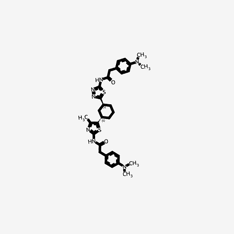 Cc1nc(NC(=O)Cc2ccc(N(C)C)cc2)sc1[C@H]1CCC[C@H](c2nnc(NC(=O)Cc3ccc(N(C)C)cc3)s2)C1